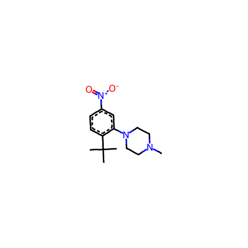 CN1CCN(c2cc([N+](=O)[O-])ccc2C(C)(C)C)CC1